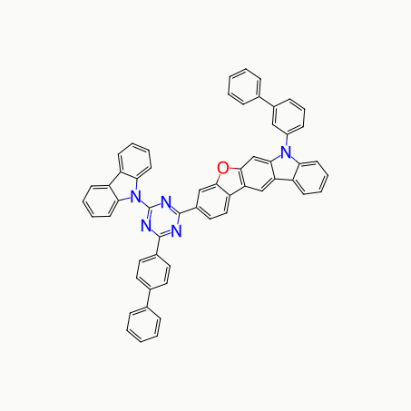 c1ccc(-c2ccc(-c3nc(-c4ccc5c(c4)oc4cc6c(cc45)c4ccccc4n6-c4cccc(-c5ccccc5)c4)nc(-n4c5ccccc5c5ccccc54)n3)cc2)cc1